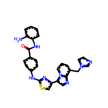 Nc1ccccc1NC(=O)c1ccc(Nc2nc(-c3cnc4c(Cn5ccnc5)cccn34)cs2)cc1